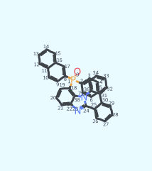 O=P(c1ccccc1)(c1ccc2ccccc2c1)c1cccc2nc3c4ccccc4c4ccccc4n3c12